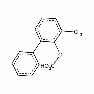 O=C(O)Oc1c(-c2ccccc2)cccc1C(F)(F)F